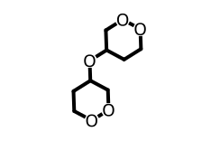 C1CC(OC2CCOOC2)COO1